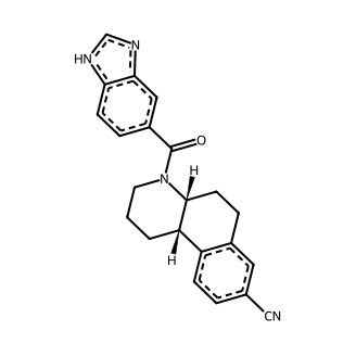 N#Cc1ccc2c(c1)CC[C@@H]1[C@H]2CCCN1C(=O)c1ccc2[nH]cnc2c1